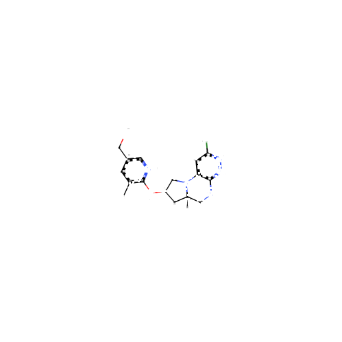 CC[C@]12CNc3nnc(Cl)cc3N1C[C@H](Oc1ncc(CO)cc1C)C2